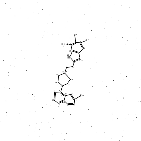 Cc1c(F)c(F)cc2nc(CCC3CCC(c4ccnc5ccc(F)cc45)CC3)[nH]c12